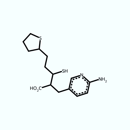 Nc1ccc(CC(C(=O)O)C(S)CCC2CCCS2)cn1